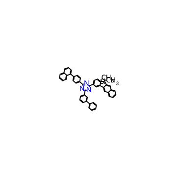 C[Si]1(C)c2ccc(-c3nc(-c4ccc(-c5cccc6ccccc56)cc4)nc(-c4cccc(-c5ccccc5)c4)n3)cc2-c2cc3ccccc3cc21